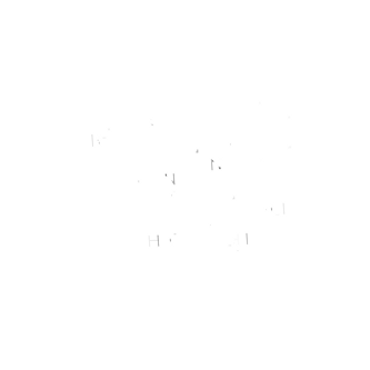 C=CC(O)c1c(C)c2ccccc2n1-c1ccc(Br)cn1